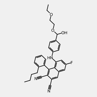 CCCCc1ccccc1-c1c(C#N)c(C#N)cc2cc(F)cc(Nc3ccc(C(O)OCCOCC)cc3)c12